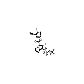 C[C@@H](NS(=O)(=O)c1c(Cl)c(C(=O)Nc2ccc(F)c(C#N)c2)n2c1C=CC2)C(F)(F)F